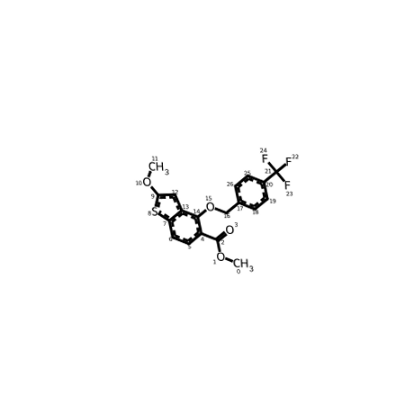 COC(=O)c1ccc2sc(OC)cc2c1OCc1ccc(C(F)(F)F)cc1